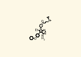 CCc1c(-c2ccc(Oc3ccccc3)cc2)c2c(N)ncnc2n1[C@@H]1CCN(C(=O)C=CCN(C)C2CC2)C1